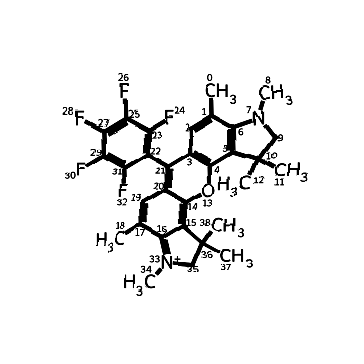 Cc1cc2c(c3c1N(C)CC3(C)C)Oc1c3c(c(C)cc1=C2c1c(F)c(F)c(F)c(F)c1F)=[N+](C)CC3(C)C